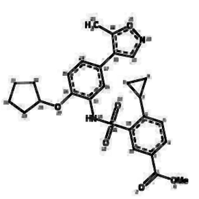 COC(=O)c1ccc(C2CC2)c(S(=O)(=O)Nc2cc(-c3cnoc3C)ccc2OC2CCCC2)c1